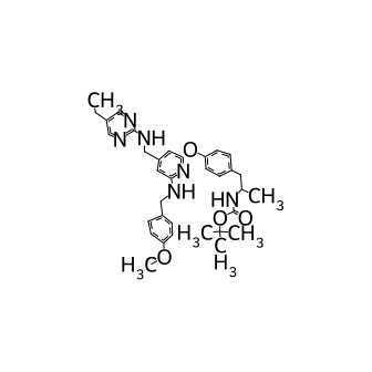 CCc1cnc(NCc2cc(NCc3ccc(OC)cc3)nc(Oc3ccc(CC(C)NC(=O)OC(C)(C)C)cc3)c2)nc1